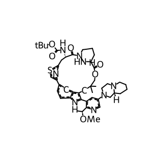 CO[C@@H](C)c1ncc(N2CCN3CCCC[C@@H]3C2)cc1-c1[nH]c2ccc3cc2c1CC(C)(C)COC(=O)[C@@H]1CCCN(N1)C(=O)[C@@H](NC(=O)OC(C)(C)C)Cc1nc-3cs1